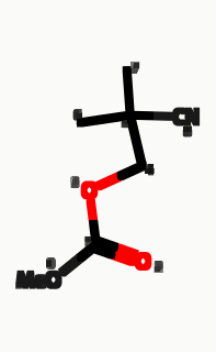 COC(=O)OCC(C)(C)C#N